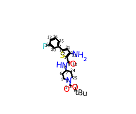 CC(C)(C)OC(=O)N1CCC(NC(=O)c2sc(-c3cccc(F)c3)cc2N)CC1